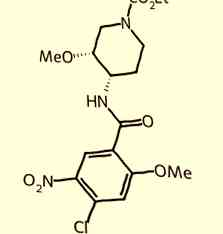 CCOC(=O)N1CC[C@H](NC(=O)c2cc([N+](=O)[O-])c(Cl)cc2OC)[C@H](OC)C1